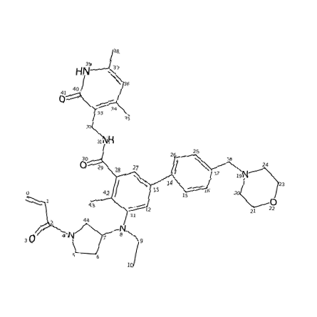 C=CC(=O)N1CCC(N(CC)c2cc(-c3ccc(CN4CCOCC4)cc3)cc(C(=O)NCc3c(C)cc(C)[nH]c3=O)c2C)C1